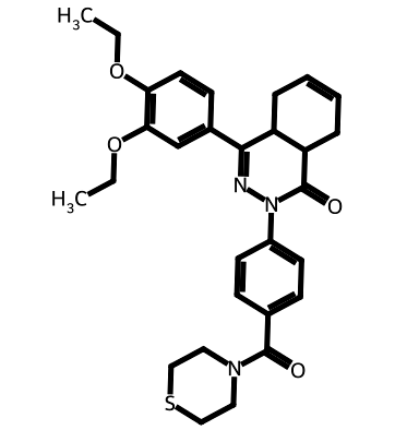 CCOc1ccc(C2=NN(c3ccc(C(=O)N4CCSCC4)cc3)C(=O)C3CC=CCC23)cc1OCC